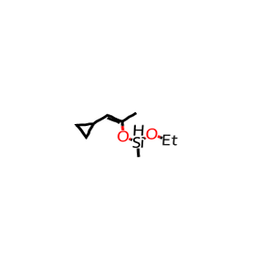 CCO[SiH](C)OC(C)=CC1CC1